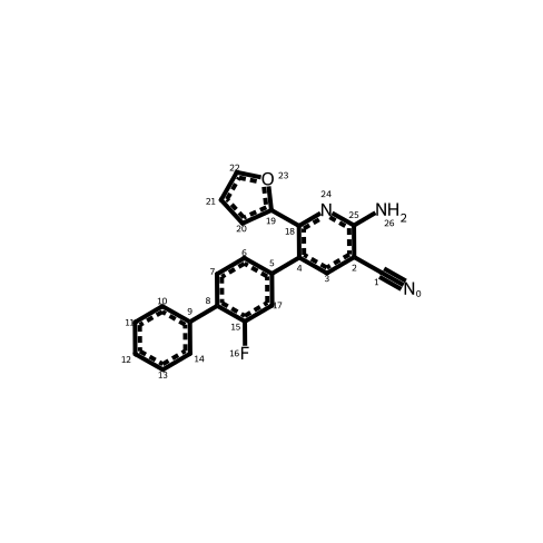 N#Cc1cc(-c2ccc(-c3ccccc3)c(F)c2)c(-c2ccco2)nc1N